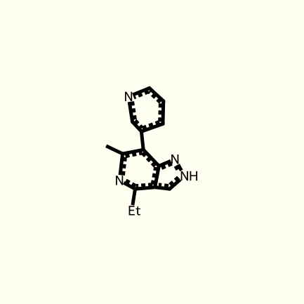 CCc1nc(C)c(-c2cccnc2)c2n[nH]cc12